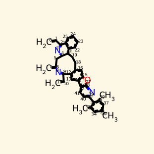 C=CC1=NC2CC(=C)/N=C(/C=C)c3cc4c(cc3CCC2c2ccccc21)oc1nc(-c2c(C)cc(C)cc2C)ccc14